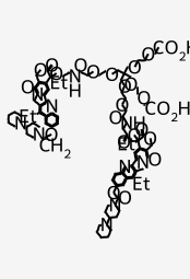 C=C(Oc1ccc2nc3c(c(CC)c2c1)Cn1c-3cc2c(c1=O)COC(=O)C2(CC)OCCNC(=O)COCCOCC(COCCOCC(=O)O)(COCCOCC(=O)O)COCCOCC(=O)NCC(=O)OC1(CC)C(=O)OCc2c1cc1n(c2=O)Cc2c-1nc1ccc(OC(=O)N3CCC(N4CCCCC4)CC3)cc1c2CC)N1CCC(N2CCCCC2)CC1